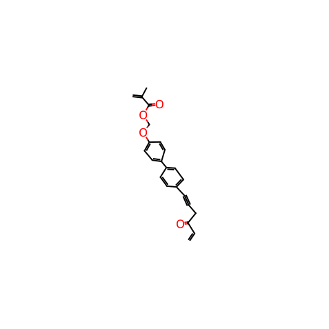 C=CC(=O)CC#Cc1ccc(-c2ccc(OCOC(=O)C(=C)C)cc2)cc1